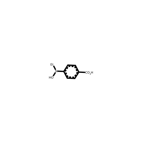 CCN(O)c1ccc(C(=O)O)cc1